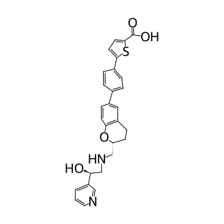 O=C(O)c1ccc(-c2ccc(-c3ccc4c(c3)CC[C@H](CNC[C@H](O)c3cccnc3)O4)cc2)s1